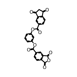 O=C(Oc1cccc(OC(=O)c2ccc3c(c2)C(=O)OC3=O)c1)c1ccc2c(c1)C(=O)CC2=O